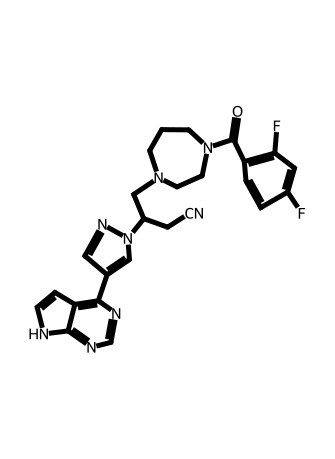 N#CCC(CN1CCCN(C(=O)c2ccc(F)cc2F)CC1)n1cc(-c2ncnc3[nH]ccc23)cn1